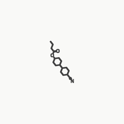 CCCC(=O)OC1CCC(C2CCC(C#N)CC2)CC1